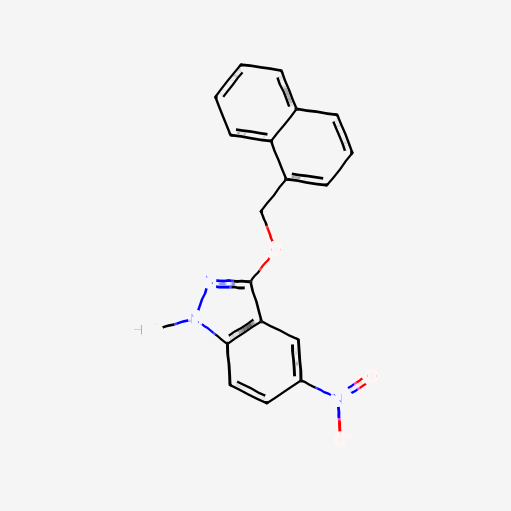 Cn1nc(OCc2cccc3ccccc23)c2cc([N+](=O)[O-])ccc21